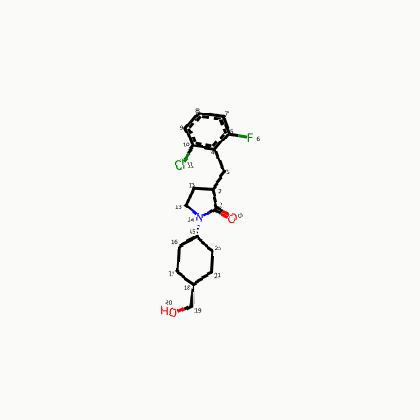 O=C1C(Cc2c(F)cccc2Cl)CCN1[C@H]1CC[C@H](CO)CC1